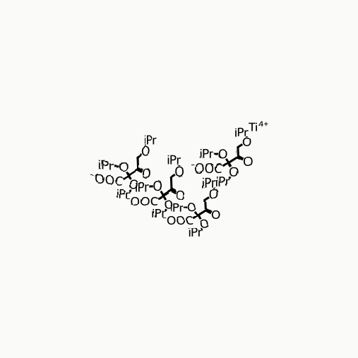 CC(C)OCC(=O)C(OC(C)C)(OC(C)C)C(=O)[O-].CC(C)OCC(=O)C(OC(C)C)(OC(C)C)C(=O)[O-].CC(C)OCC(=O)C(OC(C)C)(OC(C)C)C(=O)[O-].CC(C)OCC(=O)C(OC(C)C)(OC(C)C)C(=O)[O-].[Ti+4]